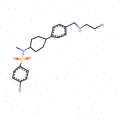 CC(=O)CCNCc1ccc(C2CCC(N(C)S(=O)(=O)c3ccc(Cl)cc3)CC2)cc1